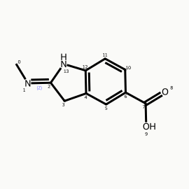 C/N=C1/Cc2cc(C(=O)O)ccc2N1